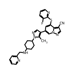 Cc1c(-c2cc(Sc3ncccc3F)c3c(C#N)cnn3c2)cnn1C1CCC(NCc2ccccn2)CC1